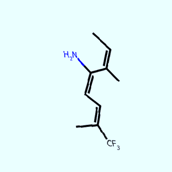 C\C=C(C)/C(N)=C\C=C(/C)C(F)(F)F